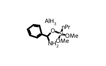 CCC[Si](OC)(OC)OC(N)c1ccccc1.[AlH3]